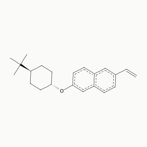 C=Cc1ccc2cc(O[C@H]3CC[C@H](C(C)(C)C)CC3)ccc2c1